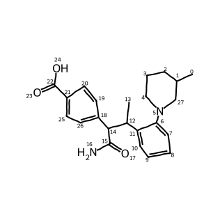 CC1CCCN(c2ccccc2C(C)C(C(N)=O)c2ccc(C(=O)O)cc2)C1